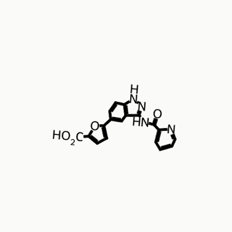 O=C(Nc1n[nH]c2ccc(-c3ccc(C(=O)O)o3)cc12)c1ccccn1